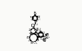 CS(=O)(=O)c1ccc(C2NC(OCc3ccc(F)cc3)CCC23CCCCCCCC3)cc1